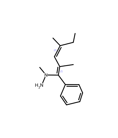 CC/C(C)=C\C(C)=C(\c1ccccc1)N(C)N